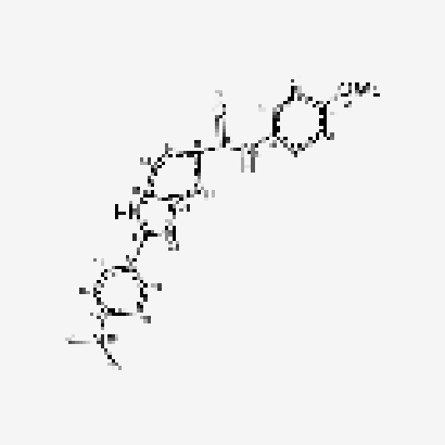 COc1ccc(NC(=O)c2ccc3[nH]c(-c4ccc(N(C)C)cc4)nc3c2)cn1